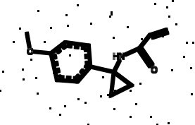 C=CC(=O)NC1(c2ccc(OC)cc2)CC1